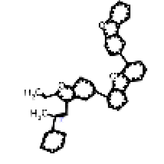 C=Cc1oc2ccc(-c3cccc4c3oc3c(-c5ccc6oc7ccccc7c6c5)cccc34)cc2c1/C=C(\C)c1ccccc1